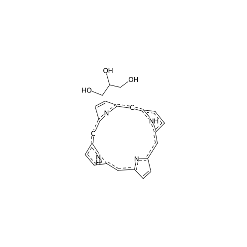 C1=Cc2cc3ccc(cc4nc(cc5ccc(cc1n2)[nH]5)C=C4)[nH]3.OCC(O)CO